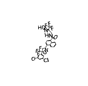 O=C(NCC(=NO)C(F)(F)F)c1ccc(C2=NOC(c3cc(Cl)cc(Cl)c3)(C(F)(F)F)C2)c2ccccc12